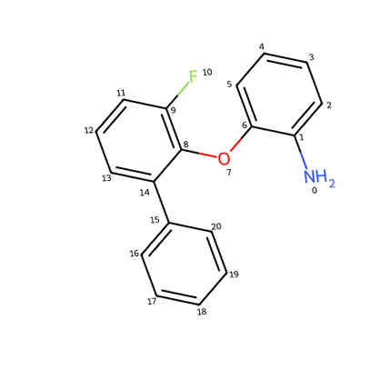 Nc1ccccc1Oc1c(F)cccc1-c1ccccc1